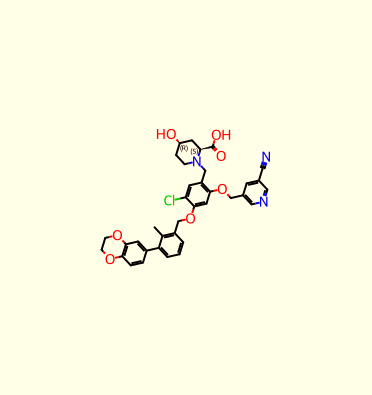 Cc1c(COc2cc(OCc3cncc(C#N)c3)c(CN3CC[C@@H](O)C[C@H]3C(=O)O)cc2Cl)cccc1-c1ccc2c(c1)OCCO2